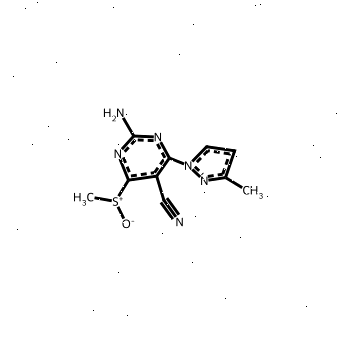 Cc1ccn(-c2nc(N)nc([S+](C)[O-])c2C#N)n1